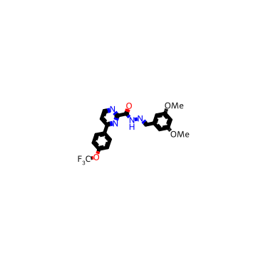 COc1cc(C=NNC(=O)c2nccc(-c3ccc(OC(F)(F)F)cc3)n2)cc(OC)c1